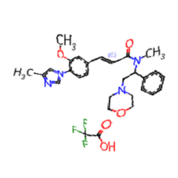 COc1cc(/C=C/C(=O)N(C)C(CN2CCOCC2)c2ccccc2)ccc1-n1cnc(C)c1.O=C(O)C(F)(F)F